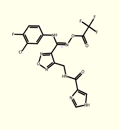 O=C(NCc1nonc1/C(=N/OC(=O)C(F)(F)F)Nc1ccc(F)c(Cl)c1)c1c[nH]cn1